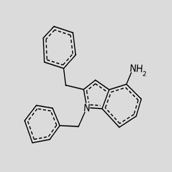 Nc1cccc2c1cc(Cc1ccccc1)n2Cc1ccccc1